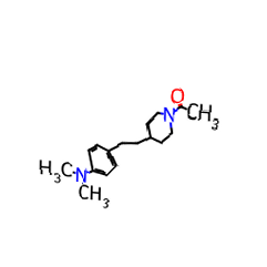 CC(=O)N1CCC(CCc2ccc(N(C)C)cc2)CC1